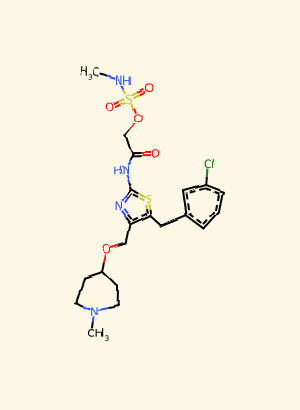 CNS(=O)(=O)OCC(=O)Nc1nc(COC2CCN(C)CC2)c(Cc2cccc(Cl)c2)s1